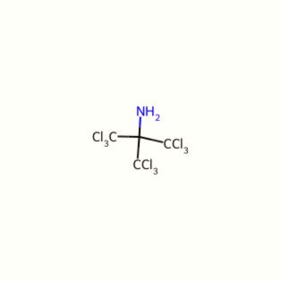 NC(C(Cl)(Cl)Cl)(C(Cl)(Cl)Cl)C(Cl)(Cl)Cl